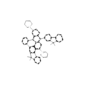 CC1(C)c2ccccc2-c2ccc(-c3ccccc3-c3c4ccc(N5CCCCC5)cc4c(-c4ccc5c(c4)C(C)(C)c4ccccc4-5)c4ccc(N5CCCCC5)cc34)cc21